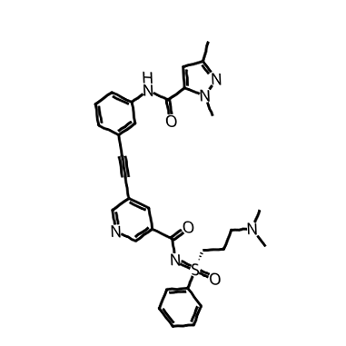 Cc1cc(C(=O)Nc2cccc(C#Cc3cncc(C(=O)N=[S@](=O)(CCCN(C)C)c4ccccc4)c3)c2)n(C)n1